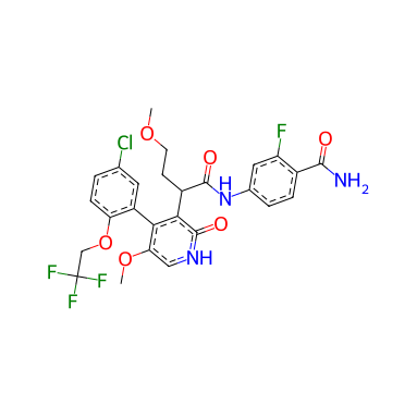 COCCC(C(=O)Nc1ccc(C(N)=O)c(F)c1)c1c(-c2cc(Cl)ccc2OCC(F)(F)F)c(OC)c[nH]c1=O